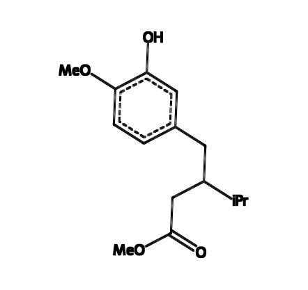 COC(=O)CC(Cc1ccc(OC)c(O)c1)C(C)C